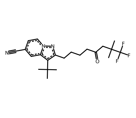 CC(C)(C)c1c(CCCCC(=O)CC(C)(C)C(F)(F)F)nn2ccc(C#N)cc12